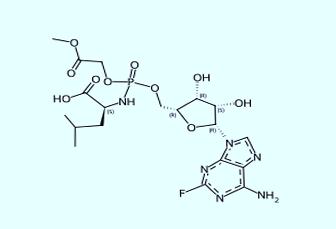 COC(=O)COP(=O)(N[C@@H](CC(C)C)C(=O)O)OC[C@H]1O[C@@H](n2cnc3c(N)nc(F)nc32)[C@@H](O)[C@H]1O